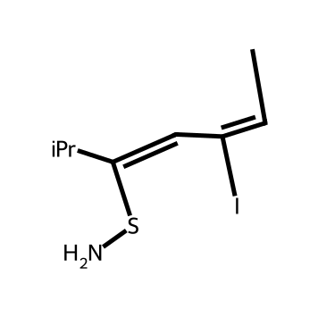 C/C=C(I)\C=C(/SN)C(C)C